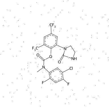 CN(C(=O)Oc1c(N2CCNC2=O)cc(C(F)(F)F)cc1C(F)(F)F)c1cc(Cl)c(F)cc1F